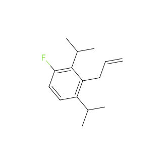 C=CCc1c(C(C)C)ccc(F)c1C(C)C